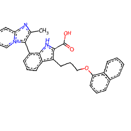 Cc1nc2ccccn2c1-c1cccc2c(CCCOc3cccc4ccccc34)c(C(=O)O)[nH]c12